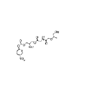 CC(CO)OCC(=O)NCC(=O)OCC(O)COC(=O)Oc1ccc([N+](=O)[O-])cc1